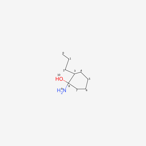 CCCC1CCCCC1(N)O